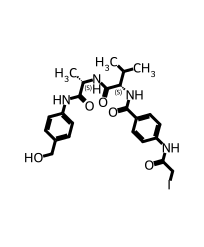 CC(C)[C@H](NC(=O)c1ccc(NC(=O)CI)cc1)C(=O)N[C@@H](C)C(=O)Nc1ccc(CO)cc1